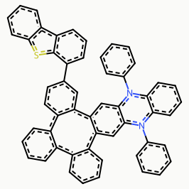 c1ccc(-n2c3ccccc3n(-c3ccccc3)c3cc4c5cc(-c6cccc7c6sc6ccccc67)ccc5c5ccccc5c5ccccc5c4cc32)cc1